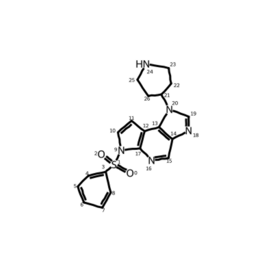 O=S(=O)(c1ccccc1)n1ccc2c3c(cnc21)ncn3C1CCNCC1